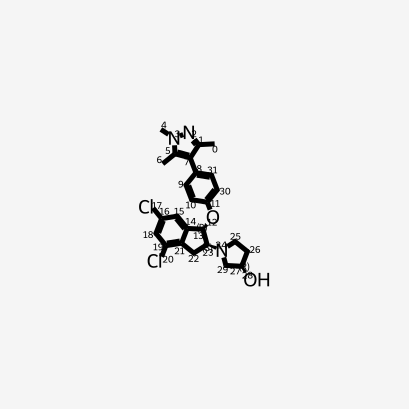 Cc1nn(C)c(C)c1-c1ccc(O[C@@H]2c3cc(Cl)cc(Cl)c3C[C@@H]2N2CC[C@@H](O)C2)cc1